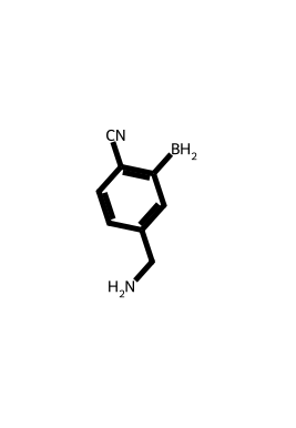 Bc1cc(CN)ccc1C#N